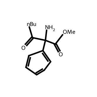 CCCCC(=O)C(N)(C(=O)OC)c1ccccc1